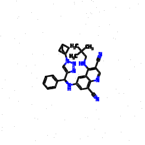 CC(C)(C)CNc1c(C#N)cnc2c(C#N)cc(N[C@@H](c3ccccc3)c3cn(C45CC(C4)C5)nn3)cc12